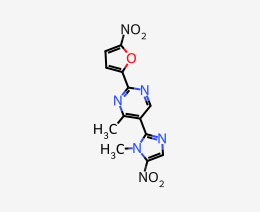 Cc1nc(-c2ccc([N+](=O)[O-])o2)ncc1-c1ncc([N+](=O)[O-])n1C